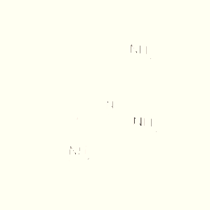 Nc1ccc(N)n1N